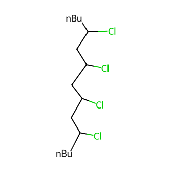 CCCCC(Cl)CC(Cl)CC(Cl)CC(Cl)CCCC